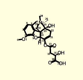 COc1ccc(C)c2c1O[C@H]1C(OC(=O)C[C@@H](O)C(=O)O)=CC[C@@]3(O)[C@@H](C)N(C)CC[C@]213